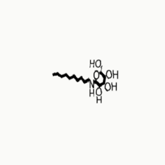 CCCCCCCCCCNC1O[C@H](CO)[C@H](O)[C@H](O)[C@H]1O